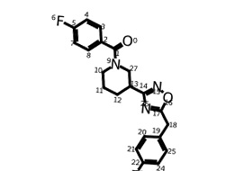 O=C(c1ccc(F)cc1)N1CCCC(c2noc(Cc3ccc(F)cc3)n2)C1